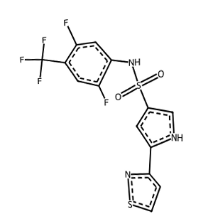 O=S(=O)(Nc1cc(F)c(C(F)(F)F)cc1F)c1c[nH]c(-c2ccsn2)c1